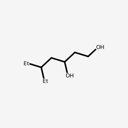 CCC(CC)CC(O)CCO